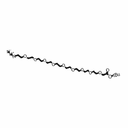 CC(C)(C)OC(=O)COCCOCCOCCOCCOCCOCCOCCOCCOCCN=[N+]=[N-]